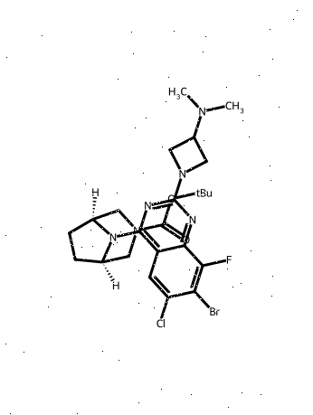 CN(C)C1CN(c2nc(N3[C@@H]4CC[C@H]3CN(C(=O)OC(C)(C)C)C4)c3cc(Cl)c(Br)c(F)c3n2)C1